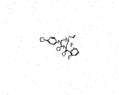 C=CCN1CN(C(=O)c2c(F)cccc2F)C(=O)N(c2ccc(Cl)cc2)C1